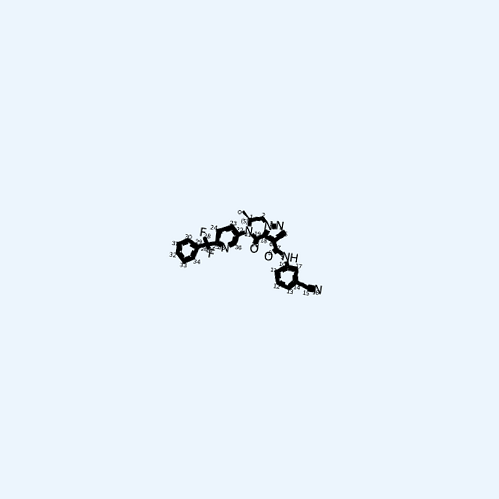 C[C@H]1Cn2ncc(C(=O)Nc3cccc(C#N)c3)c2C(=O)N1c1ccc(C(F)(F)c2ccccc2)nc1